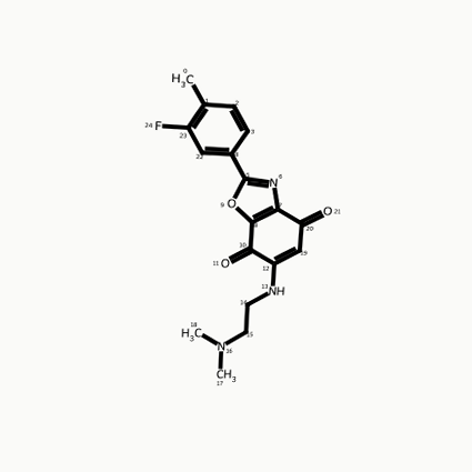 Cc1ccc(-c2nc3c(o2)C(=O)C(NCCN(C)C)=CC3=O)cc1F